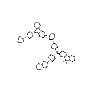 CC1(C)c2ccccc2-c2ccc(N(c3ccc(-c4cccc(-c5ccc6c(c5)c5ccccc5n6-c5ccc(-c6ccccc6)cc5)c4)cc3)c3ccc(-c4ccc5ccccc5c4)cc3)cc21